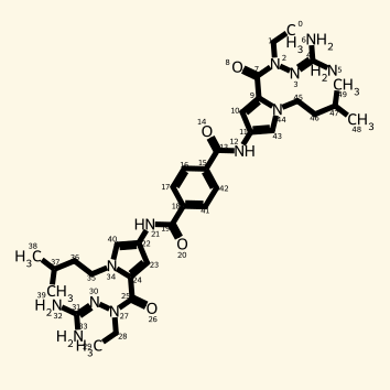 CCN(N=C(N)N)C(=O)c1cc(NC(=O)c2ccc(C(=O)Nc3cc(C(=O)N(CC)N=C(N)N)n(CCC(C)C)c3)cc2)cn1CCC(C)C